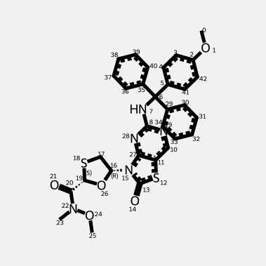 COc1ccc(C(Nc2ncc3sc(=O)n([C@H]4CS[C@@H](C(=O)N(C)OC)O4)c3n2)(c2ccccc2)c2ccccc2)cc1